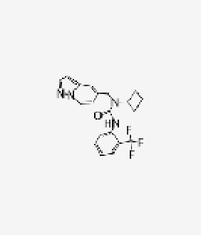 O=C(Nc1ccccc1C(F)(F)F)N(Cc1ccn2nccc2c1)C1CCC1